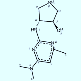 Cc1cc(N(C)C)nc(N[C@@H]2CNC[C@H]2O)n1